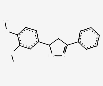 COc1ccc(C2CC(c3ccccc3)=NN2)cc1OC